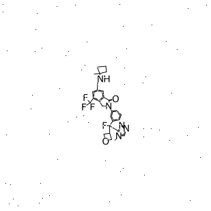 Cn1cnnc1[C@@](F)(c1cccc(N2Cc3c(cc(CNC4(C)CCC4)cc3C(F)(F)F)C2=O)c1)C1COC1